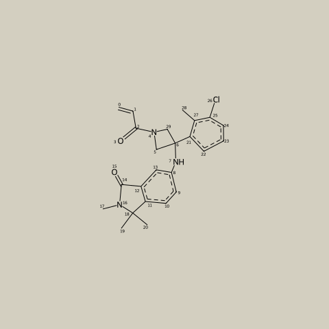 C=CC(=O)N1CC(Nc2ccc3c(c2)C(=O)N(C)C3(C)C)(c2cccc(Cl)c2C)C1